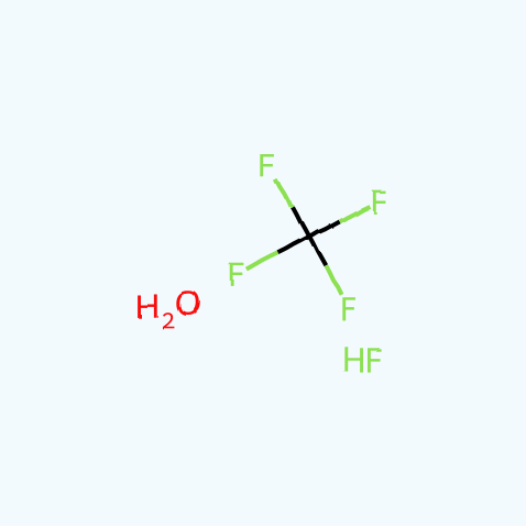 F.FC(F)(F)F.O